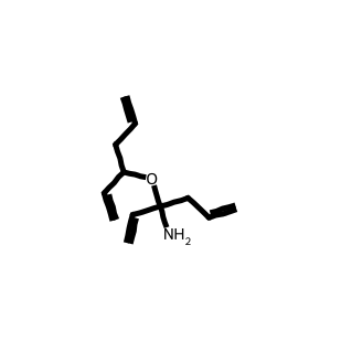 C=CCC(C=C)OC(N)(C=C)CC=C